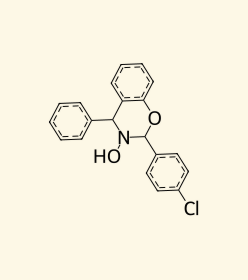 ON1C(c2ccc(Cl)cc2)Oc2ccccc2C1c1ccccc1